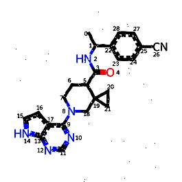 CC(NC(=O)C1CCN(c2ncnc3[nH]ccc23)CC12CC2)c1ccc(C#N)cc1